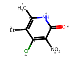 CCc1c(C)[nH]c(=O)c([N+](=O)[O-])c1Cl